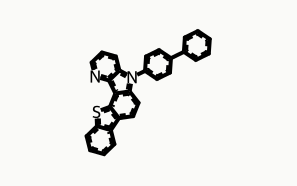 c1ccc(-c2ccc(-n3c4cccnc4c4c5sc6ccccc6c5ccc43)cc2)cc1